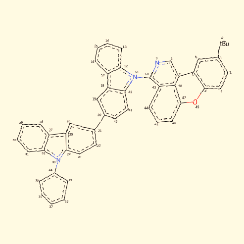 CC(C)(C)c1ccc2c(c1)-c1cnc(-n3c4ccccc4c4cc(-c5ccc6c(c5)c5ccccc5n6-c5ccccc5)ccc43)c3cccc(c13)O2